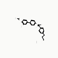 CCCCc1ccc(C(F)(F)Oc2ccc(-c3ccc(OC(F)F)c(F)c3)cc2)cc1